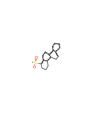 CS(=O)(=O)C1=c2ccc3c(c2CCC1)CC=c1ccccc1=3